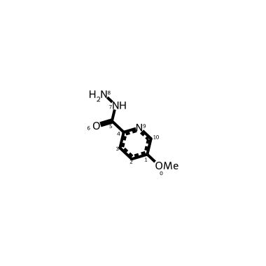 COc1ccc(C(=O)NN)nc1